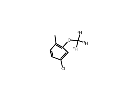 [2H]C([2H])([2H])Oc1cc(Cl)ccc1C